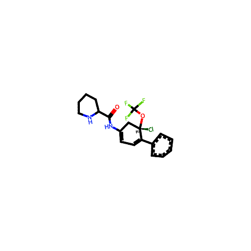 O=C(NC1=CC=C(c2ccccc2)[C@@](Cl)(OC(F)(F)F)C1)C1CCCCN1